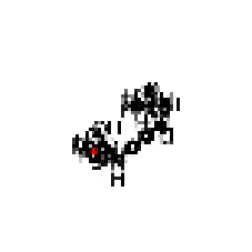 COC(=O)NC(C(=O)N1[C@@H]2C[C@H]2C[C@H]1c1nc(Cl)c(-c2ccc(-c3ccc(-c4c[nH]c([C@@H]5C[C@H]6C[C@H]6N5C(=O)C(C5C[C@@H]6[C@H](C5)C6(F)F)N(C)C(=O)O)n4)cc3)cc2)[nH]1)C1C[C@@H]2[C@H](C1)C2(F)F